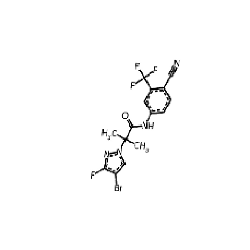 CC(C)(C(=O)Nc1ccc(C#N)c(C(F)(F)F)c1)n1cc(Br)c(F)n1